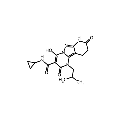 CC(C)Cn1c(=O)c(C(=O)NC2CC2)c(O)n2nc3c(c12)CCC(=O)N3